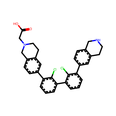 O=C(O)CN1CCc2cc(-c3cccc(-c4cccc(-c5ccc6c(c5)CCNC6)c4Cl)c3Cl)ccc2C1